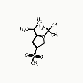 CC(C)C1CC(S(C)(=O)=O)CN1C(C)(C)S